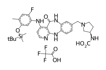 Cc1cc(F)c(Nc2ccnc3c2C(=O)Nc2cc(CN4CC[C@@H](NC(=O)O)C4)ccc2N3)cc1O[Si](C)(C)C(C)(C)C.O=C(O)C(F)(F)F